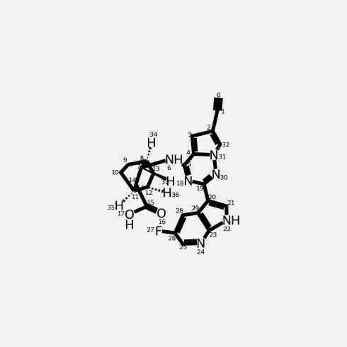 C#Cc1cc2c(N[C@H]3[C@H]4CC[C@H](CC4)[C@@H]3C(=O)O)nc(-c3c[nH]c4ncc(F)cc34)nn2c1